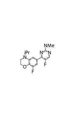 CNc1ncc(F)c(-c2cc(F)c3c(c2)N(C(C)C)CCO3)n1